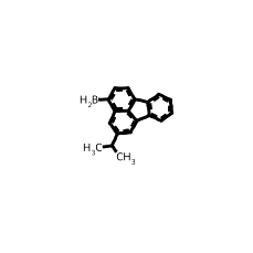 Bc1ccc2c3c(cc(C(C)C)cc13)-c1ccccc1-2